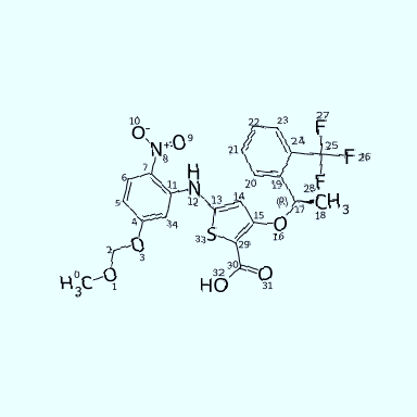 COCOc1ccc([N+](=O)[O-])c(Nc2cc(O[C@H](C)c3ccccc3C(F)(F)F)c(C(=O)O)s2)c1